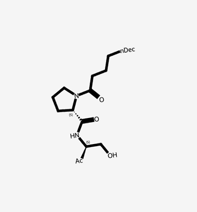 CCCCCCCCCCCCCC(=O)N1CCC[C@H]1C(=O)N[C@@H](CO)C(C)=O